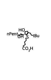 CCCCC[C@H](O)C=C[C@@H]1C(SCCCCCC(=O)O)=C(CCC(C)(C)C)C[C@H]1O